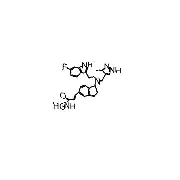 Cc1n[nH]cc1CN(CCc1c[nH]c2cc(F)ccc12)C1CCc2cc(C=CC(=O)NO)ccc21